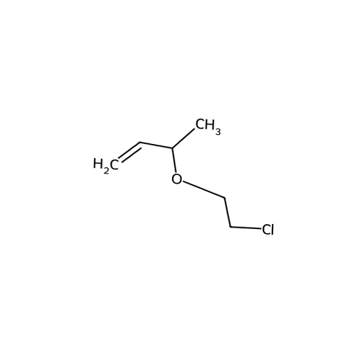 C=CC(C)OCCCl